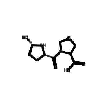 O=C(O)[C@@H]1CSCN1C(=O)[C@@H]1CC[C@H](O)N1